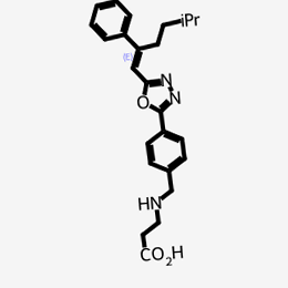 CC(C)CC/C(=C\c1nnc(-c2ccc(CNCCC(=O)O)cc2)o1)c1ccccc1